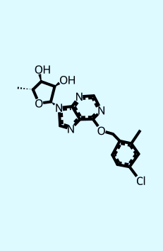 Cc1cc(Cl)ccc1COc1ncnc2c1ncn2[C@@H]1O[C@H](C)[C@@H](O)[C@H]1O